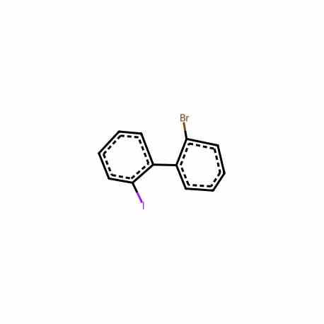 Brc1ccccc1-c1ccccc1I